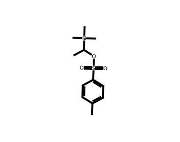 Cc1ccc(S(=O)(=O)OC(C)[Si](C)(C)C)cc1